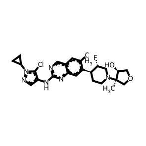 Cc1cc2cnc(Nc3cnn(C4CC4)c3Cl)nc2cc1[C@@H]1CCN([C@]2(C)COC[C@@H]2O)C[C@H]1F